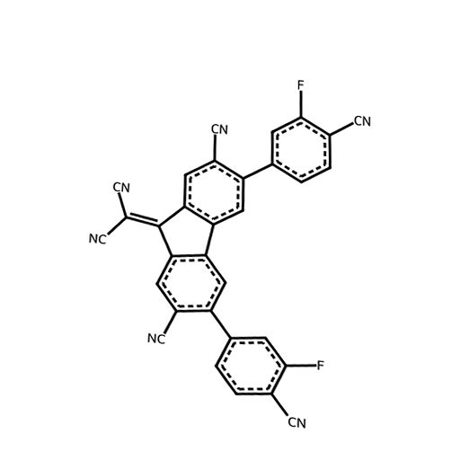 N#CC(C#N)=C1c2cc(C#N)c(-c3ccc(C#N)c(F)c3)cc2-c2cc(-c3ccc(C#N)c(F)c3)c(C#N)cc21